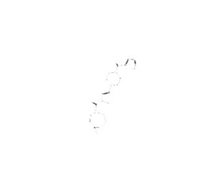 CC1(C)CCCN(C(=O)C2C=C(C3CCN(C(=O)c4ccno4)CC3)SC2)CC1